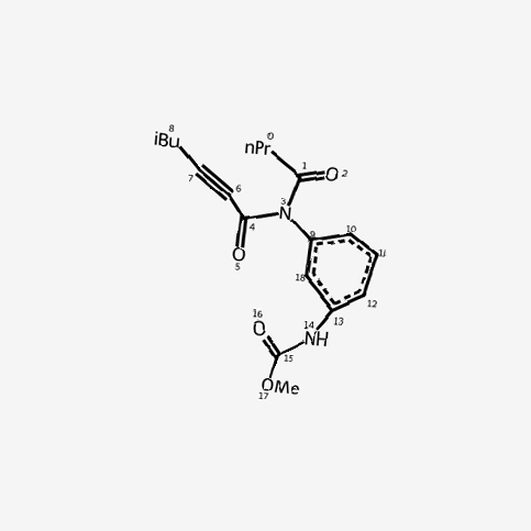 CCCC(=O)N(C(=O)C#CC(C)CC)c1cccc(NC(=O)OC)c1